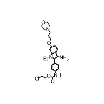 CCn1c(-c2ccc(NC(=O)OCCCl)cc2)c(N)c2ccc(OCCCN3CCOCC3)cc21